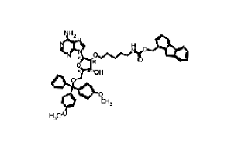 COc1ccc(C(OC[C@H]2O[C@@H](n3cnc4c(N)ncnc43)[C@H](OCCCCCNC(=O)OCc3cccc4c3Cc3ccccc3-4)[C@@H]2O)(c2ccccc2)c2ccc(OC)cc2)cc1